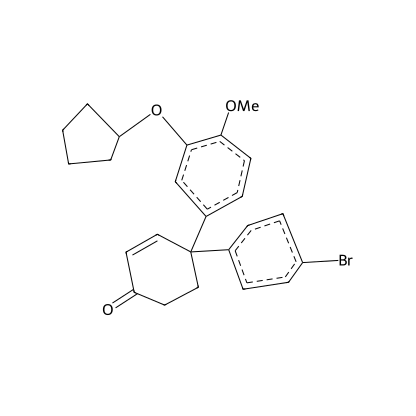 COc1ccc(C2(c3ccc(Br)cc3)C=CC(=O)CC2)cc1OC1CCCC1